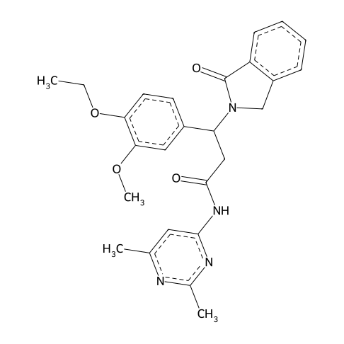 CCOc1ccc(C(CC(=O)Nc2cc(C)nc(C)n2)N2Cc3ccccc3C2=O)cc1OC